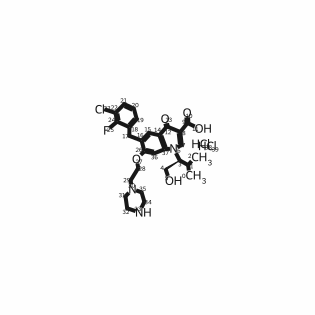 CC(C)[C@@H](CO)n1cc(C(=O)O)c(=O)c2cc(Cc3cccc(Cl)c3F)c(OCCN3CCNCC3)cc21.Cl.Cl